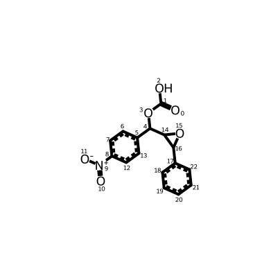 O=C(O)OC(c1ccc([N+](=O)[O-])cc1)C1OC1c1ccccc1